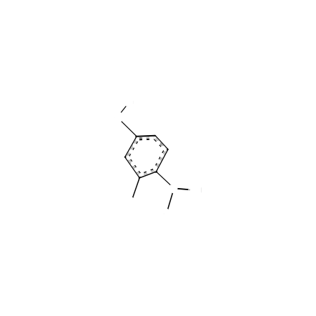 CCCCCc1cc(OCC)ccc1B(O)O